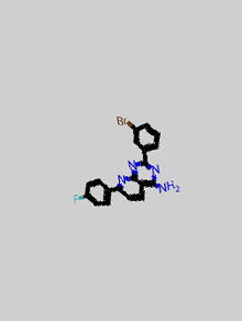 Nc1nc(-c2cccc(Br)c2)nc2nc(-c3ccc(F)cc3)ccc12